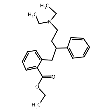 CCOC(=O)c1ccccc1CC(CCN(CC)CC)c1ccccc1